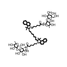 C[C@H]1O[C@H](CNC(=O)CCCCC[N+]2=C(/C=C/C=C/C=C/C=C3/N(CCCCCC(=O)NC[C@H]4O[C@H](OC5[C@@H](CO)O[C@H](C)[C@H](O)[C@H]5O)[C@H](O)[C@@H](O)[C@@H]4O)c4ccc5ccccc5c4C3(C)C)C(C)(C)c3c2ccc2ccccc32)[C@@H](OC2O[C@H](CO)[C@@H](O)[C@H](O)[C@H]2O)[C@H](O)[C@H]1O